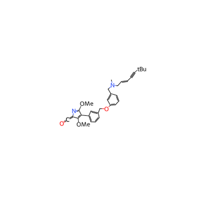 COC1=NC(=C=O)C(OC)=C1c1cccc(COc2cccc(CN(C)CC=CC#CC(C)(C)C)c2)c1